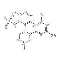 CCc1nc(N)nc(-c2ccnc(C)c2)c1-c1cnc(C)c(NS(C)(=O)=O)c1